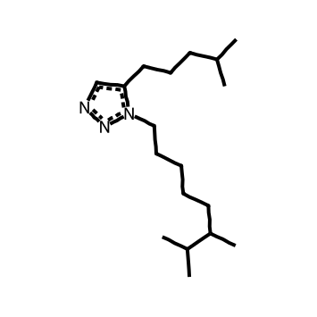 CC(C)CCCc1cnnn1CCCCCC(C)C(C)C